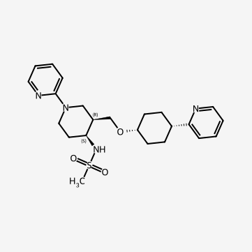 CS(=O)(=O)N[C@H]1CCN(c2ccccn2)C[C@H]1CO[C@H]1CC[C@@H](c2ccccn2)CC1